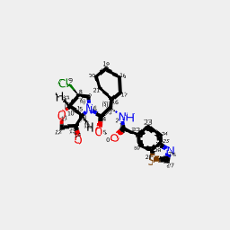 O=C(N[C@H](C(=O)N1C[C@H](Cl)[C@H]2OCC(=O)[C@H]21)C1CCCCC1)c1ccc2ncsc2c1